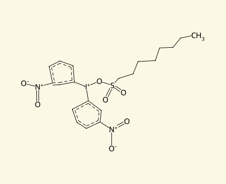 CCCCCCCCS(=O)(=O)O[I+](c1cccc([N+](=O)[O-])c1)c1cccc([N+](=O)[O-])c1